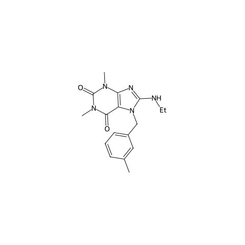 CCNc1nc2c(c(=O)n(C)c(=O)n2C)n1Cc1cccc(C)c1